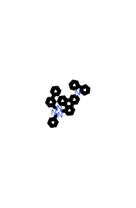 c1ccc(-c2cccc(-c3nc(-c4ccccc4)nc(-c4cccc5c6ccc(-n7c8ccccc8c8ccccc87)cc6c6ccccc6c45)n3)c2)cc1